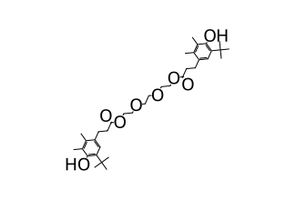 Cc1c(CCC(=O)OCCOCCOCCOC(=O)CCc2cc(C(C)(C)C)c(O)c(C)c2C)cc(C(C)(C)C)c(O)c1C